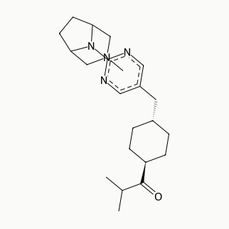 CC(C)C(=O)[C@H]1CC[C@H](Cc2cnc(N3C4CCC3CN(C)C4)nc2)CC1